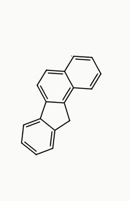 [c]1cccc2c3c(ccc12)-c1ccccc1C3